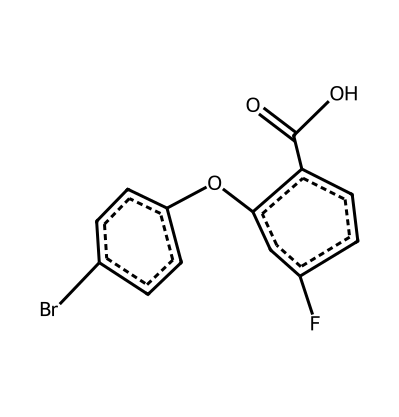 O=C(O)c1ccc(F)cc1Oc1ccc(Br)cc1